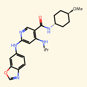 CO[C@H]1CC[C@H](NC(=O)c2cnc(Nc3ccc4ncoc4c3)cc2NC(C)C)CC1